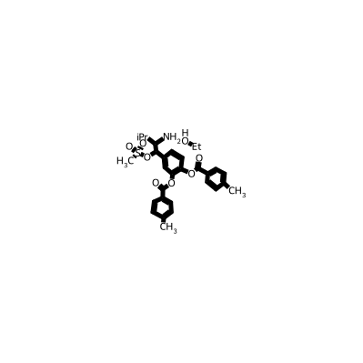 CCO.Cc1ccc(C(=O)Oc2ccc(C(OS(C)(=O)=O)C(N)C(C)C)cc2OC(=O)c2ccc(C)cc2)cc1